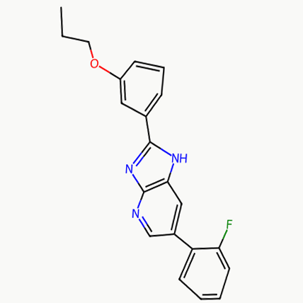 CCCOc1cccc(-c2nc3ncc(-c4ccccc4F)cc3[nH]2)c1